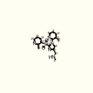 CNCc1cn(-c2ncccc2F)c(S(=O)(=O)c2cccnc2C)n1